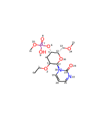 CCOC1C[C@H](OP(=O)(O)OC)[C@H](COC)O[C@H]1n1cccnc1=O